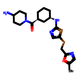 CC(C)(C)c1cnc(CSc2cnc(N[C@H]3CCC[C@@H](C(=O)N4CCC(N)CC4)C3)s2)o1